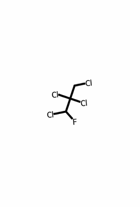 FC(Cl)C(Cl)(Cl)CCl